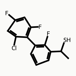 CC(S)c1cccc(-c2c(F)cc(F)cc2Cl)c1F